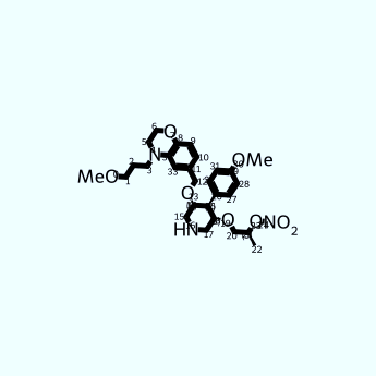 COCCCN1CCOc2ccc(CO[C@H]3CNC[C@@H](OC[C@H](C)O[N+](=O)[O-])[C@@H]3c3ccc(OC)cc3)cc21